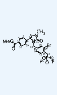 COC(=O)c1ccc(-c2cn(C)c(=O)n2Cc2ccc(CP(=O)(OF)OF)c(Br)c2)cc1